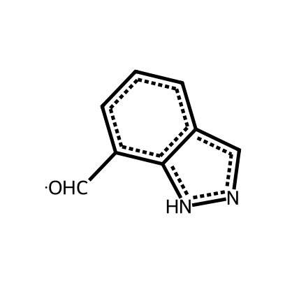 O=[C]c1cccc2cn[nH]c12